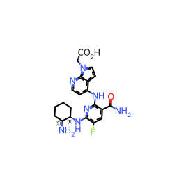 NC(=O)c1cc(F)c(N[C@@H]2CCCC[C@@H]2N)nc1Nc1ccnc2c1ccn2CC(=O)O